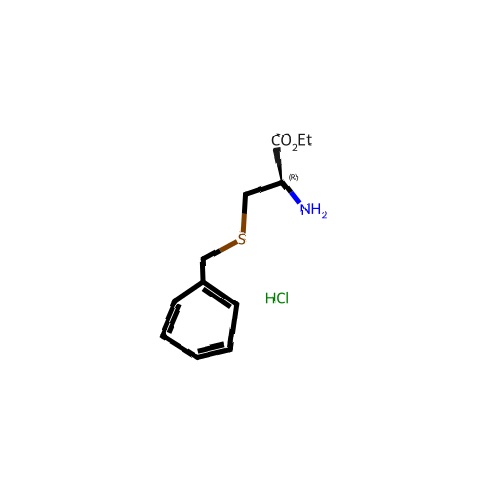 CCOC(=O)[C@@H](N)CSCc1ccccc1.Cl